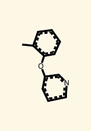 Cc1ccccc1Oc1cccnc1